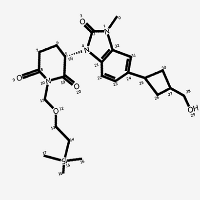 Cn1c(=O)n([C@H]2CCC(=O)N(COCC[Si](C)(C)C)C2=O)c2ccc(C3CC(CO)C3)cc21